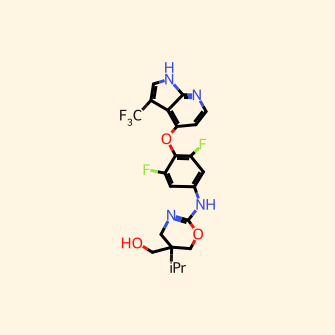 CC(C)C1(CO)CN=C(Nc2cc(F)c(Oc3ccnc4[nH]cc(C(F)(F)F)c34)c(F)c2)OC1